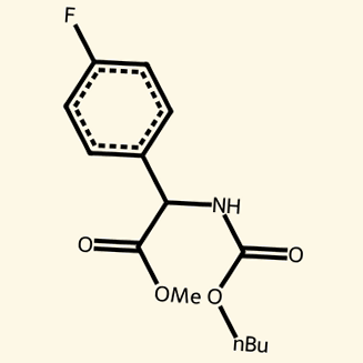 CCCCOC(=O)NC(C(=O)OC)c1ccc(F)cc1